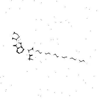 NCCOCCOCCOCCOCCOCCNC(=O)C(OC(=O)C(F)(F)F)Oc1cccc2c1C(=O)N(C1CCC(=O)NC1=O)C2=O